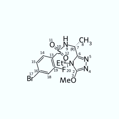 CCn1c(OC)nnc1[C@@H](C)NS(=O)(=O)c1ccc(Br)cc1F